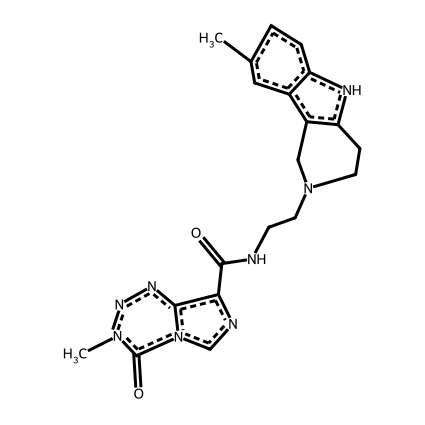 Cc1ccc2[nH]c3c(c2c1)CN(CCNC(=O)c1ncn2c(=O)n(C)nnc12)CC3